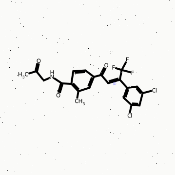 CC(=O)CNC(=O)c1ccc(C(=O)/C=C(/c2cc(Cl)cc(Cl)c2)C(F)(F)F)cc1C